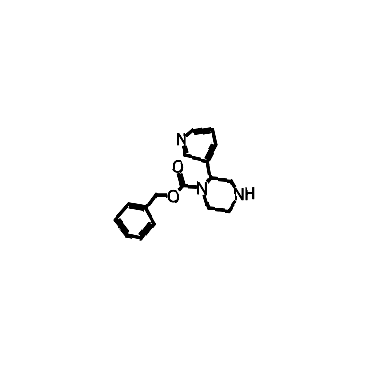 O=C(OCc1ccccc1)N1CCNCC1c1cccnc1